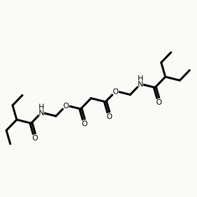 CCC(CC)C(=O)NCOC(=O)CC(=O)OCNC(=O)C(CC)CC